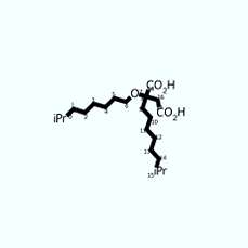 CC(C)CCCCCCOC(CCCCCCC(C)C)(CC(=O)O)C(=O)O